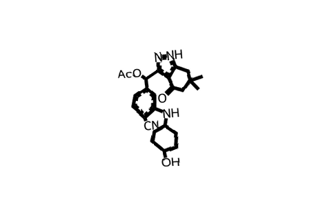 CC(=O)OC(c1ccc(C#N)c(NC2CCC(O)CC2)c1)c1n[nH]c2c1C(=O)CC(C)(C)C2